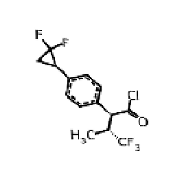 C[C@H]([C@H](C(=O)Cl)c1ccc(C2CC2(F)F)cc1)C(F)(F)F